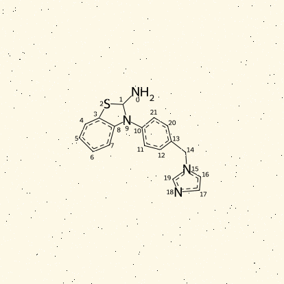 NC1Sc2ccccc2N1c1ccc(Cn2ccnc2)cc1